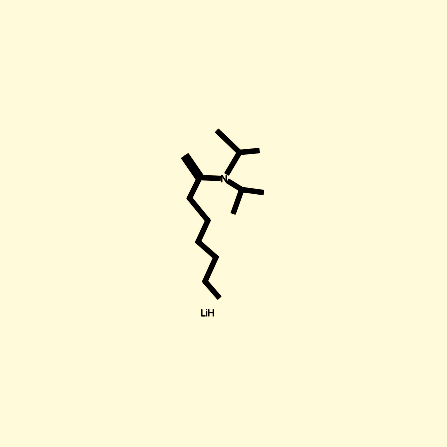 C=C(CCCCCC)N(C(C)C)C(C)C.[LiH]